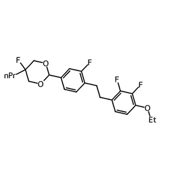 CCCC1(F)COC(c2ccc(CCc3ccc(OCC)c(F)c3F)c(F)c2)OC1